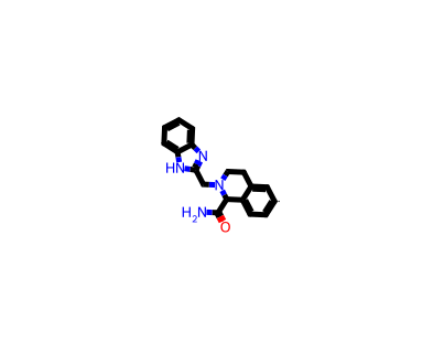 NC(=O)C1c2cc[c]cc2CCN1Cc1nc2ccccc2[nH]1